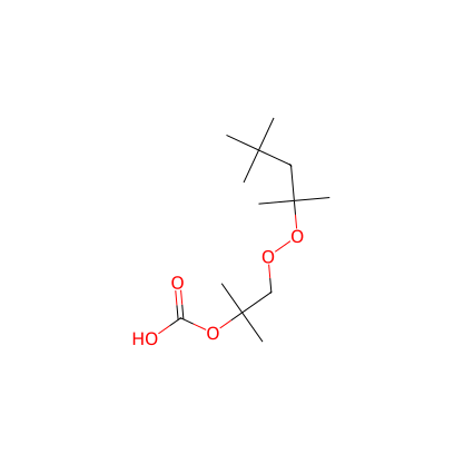 CC(C)(C)CC(C)(C)OOCC(C)(C)OC(=O)O